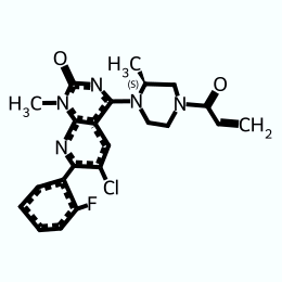 C=CC(=O)N1CCN(c2nc(=O)n(C)c3nc(-c4ccccc4F)c(Cl)cc23)[C@@H](C)C1